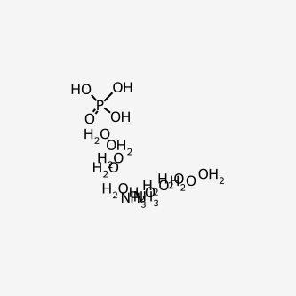 N.N.O.O.O.O.O.O.O.O.O.O.O=P(O)(O)O